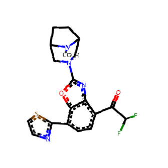 O=C(c1ccc(-c2nccs2)c2oc(N3CC4CCC(C3)N4C(=O)O)nc12)C(F)F